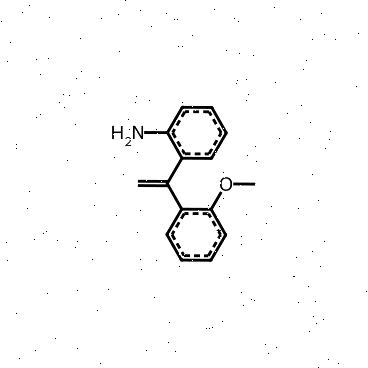 C=C(c1ccccc1N)c1ccccc1OC